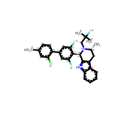 C[C@@H]1Cc2c([nH]c3ccccc23)[C@@H](c2c(F)cc(-c3ccc(C(=O)O)cc3Cl)cc2F)N1CC(C)(C)F